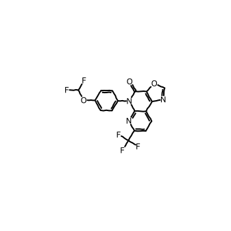 O=c1c2ocnc2c2ccc(C(F)(F)F)nc2n1-c1ccc(OC(F)F)cc1